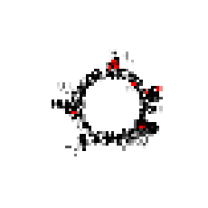 CCCC[C@H]1C(=O)N(C)[C@@H](CCCC)C(=O)N[C@@H](C)C(=O)N[C@H](C(=O)NCC(N)=O)CSCC(=O)N[C@@H](Cc2ccc(O)cc2)C(=O)N(C)[C@@H](C)C(=O)N[C@@H](CCC(=O)O)C(=O)N2CCC[C@H]2C(=O)N[C@@H](Cc2c[nH]cn2)C(=O)N[C@@H](CCCCN)C(=O)N2CCC[C@H]2C(=O)N[C@@H](Cc2c[nH]c3ccccc23)C(=O)N[C@@H](CO)C(=O)N[C@@H](Cc2c[nH]c3ccccc23)C(=O)N1C